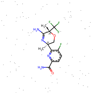 C[C@@]1(c2nc(C(N)=O)ccc2F)CO[C@@](C)(C(F)(F)F)C(N)=N1